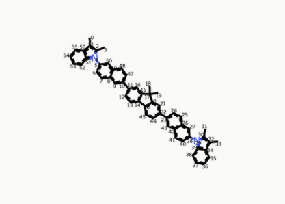 Cc1c(C)n(-c2ccc3cc(-c4ccc5c(c4)C(C)(C)c4cc(-c6ccc7cc(-n8c(C)c(C)c9ccccc98)ccc7c6)ccc4-5)ccc3c2)c2ccccc12